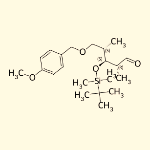 COc1ccc(COC[C@H](C)[C@H](O[Si](C)(C)C(C)(C)C)[C@@H](C)C=O)cc1